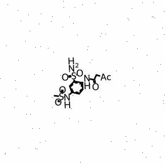 CC(=O)CC(=O)Nc1ccc(NS(C)(=O)=O)cc1S(N)(=O)=O